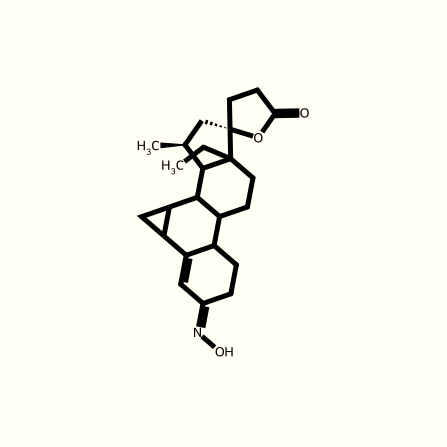 CCC12CCC3C4CC/C(=N\O)C=C4C4CC4C3C1[C@@H](C)C[C@@]21CCC(=O)O1